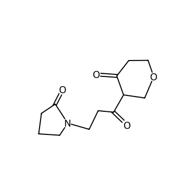 O=C1CCOCC1C(=O)CCN1CCCC1=O